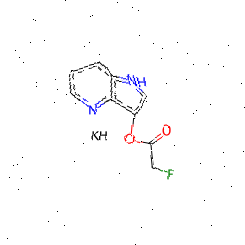 O=C(CF)Oc1c[nH]c2cccnc12.[KH]